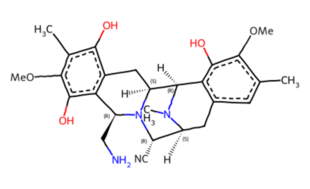 COc1c(C)cc2c(c1O)[C@@H]1[C@@H]3Cc4c(O)c(C)c(OC)c(O)c4[C@H](CN)N3[C@@H](C#N)[C@H](C2)N1C